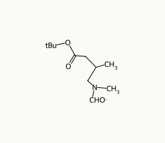 CC(CC(=O)OC(C)(C)C)CN(C)[C]=O